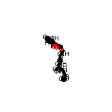 C[C@]12C=CC(=O)C=C1[C@@H](F)C[C@@H]1[C@@H]2[C@@H](O)C[C@@]2(C)[C@H]1C[C@H]1CN(c3ccc(CC45CC(NC(=O)OCc6ccc(NC(=O)[C@H](CCC(=O)O)NC(=O)CNC(=O)CCC(=O)ON7C(=O)C=CC7=O)cc6)(C4)C5)cc3)C[C@]12C(=O)CO